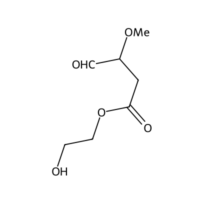 COC(C=O)CC(=O)OCCO